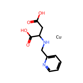 O=C(O)CC(NCc1ccccn1)C(=O)O.[Cu]